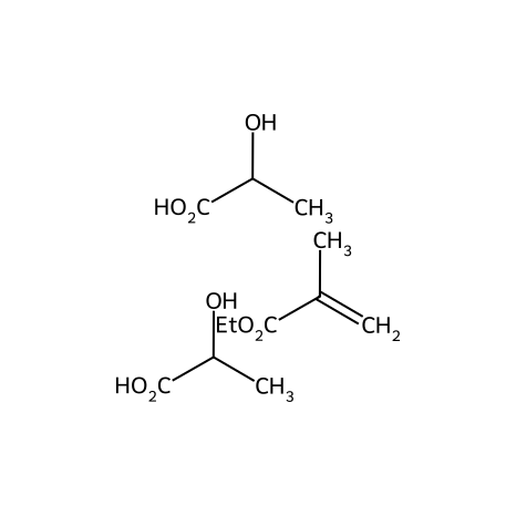 C=C(C)C(=O)OCC.CC(O)C(=O)O.CC(O)C(=O)O